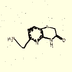 NCc1ccc2c(n1)NC(=O)CS2